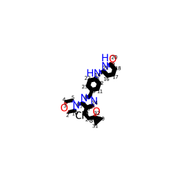 CC1COCCN1c1nc(-c2ccc(Nc3cccc(=O)[nH]3)cc2)nc2c1CCC1(CC1)O2